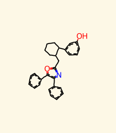 Oc1cccc(C2CCCCC2Cc2nc(-c3ccccc3)c(-c3ccccc3)o2)c1